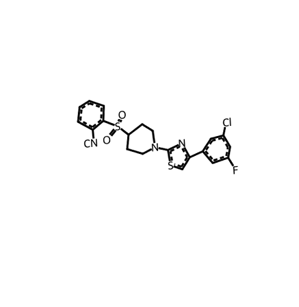 N#Cc1ccccc1S(=O)(=O)C1CCN(c2nc(-c3cc(F)cc(Cl)c3)cs2)CC1